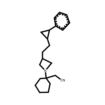 N#CCC1(N2CC(CCC3CC3c3ccccc3)C2)CCCCC1